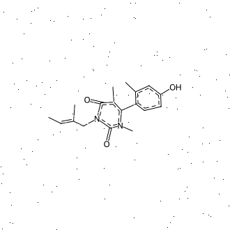 C/C=C(\C)Cn1c(=O)c(C)c(-c2ccc(O)cc2C)n(C)c1=O